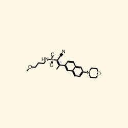 COCCCNS(=O)(=O)/C(C#N)=C(\C)c1ccc2cc(N3CCOCC3)ccc2c1